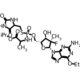 CCOc1nc(N)nc2c1ncn2[C@@H]1O[C@H](COP(=O)(NC(C)C(=O)OC(C)C)SCC2NC(=O)NC2=O)[C@@H](O)[C@@]1(C)F